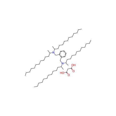 CCCCCCCCCCCC(C)N(Cc1ccccc1CN(C(C)CCCCCCCCCCC)C(C)CCCCCCCCCCC)C(C)CCCCCCCCCCC.O=C(O)CC(=O)O